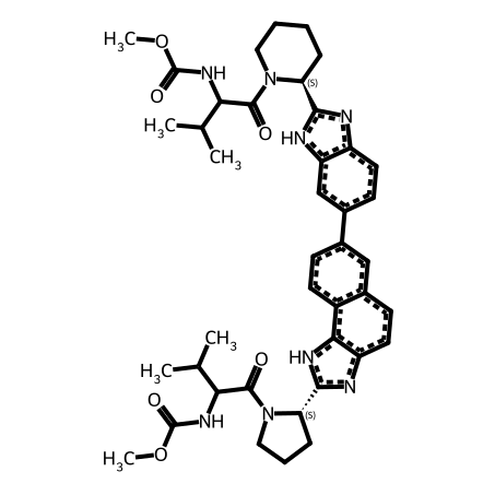 COC(=O)NC(C(=O)N1CCCC[C@H]1c1nc2ccc(-c3ccc4c(ccc5nc([C@@H]6CCCN6C(=O)C(NC(=O)OC)C(C)C)[nH]c54)c3)cc2[nH]1)C(C)C